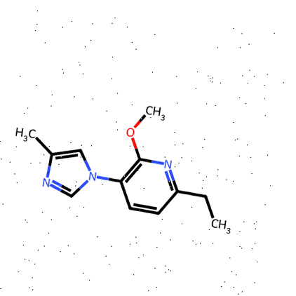 CCc1ccc(-n2cnc(C)c2)c(OC)n1